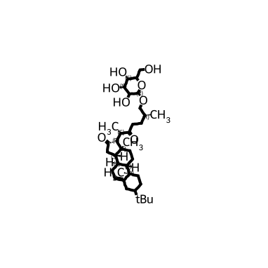 C[C@H](CCC(=O)[C@@H](C)[C@H]1C(=O)C[C@H]2[C@@H]3CC=C4CC(C(C)(C)C)CC[C@]4(C)[C@H]3CC[C@]12C)CO[C@@H]1OC(CO)[C@@H](O)[C@H](O)C1O